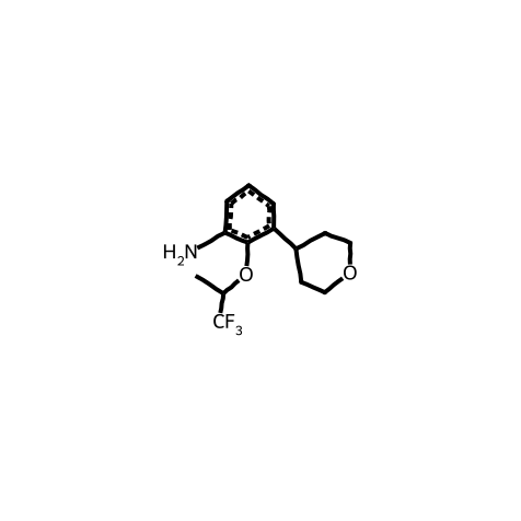 CC(Oc1c(N)cccc1C1CCOCC1)C(F)(F)F